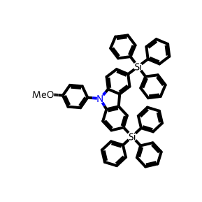 COc1ccc(-n2c3ccc([Si](c4ccccc4)(c4ccccc4)c4ccccc4)cc3c3cc([Si](c4ccccc4)(c4ccccc4)c4ccccc4)ccc32)cc1